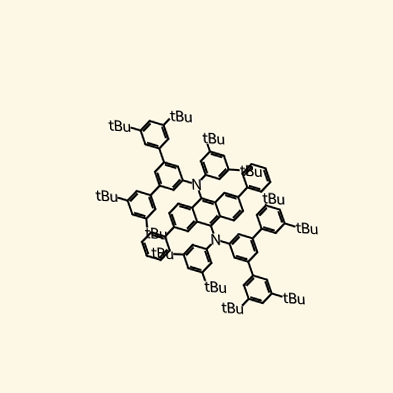 CC(C)(C)c1cc(-c2cc(-c3cc(C(C)(C)C)cc(C(C)(C)C)c3)cc(N(c3cc(C(C)(C)C)cc(C(C)(C)C)c3)c3c4ccc(-c5ccccc5)cc4c(N(c4cc(-c5cc(C(C)(C)C)cc(C(C)(C)C)c5)cc(-c5cc(C(C)(C)C)cc(C(C)(C)C)c5)c4)c4cc(C(C)(C)C)cc(C(C)(C)C)c4)c4ccc(-c5ccccc5)cc34)c2)cc(C(C)(C)C)c1